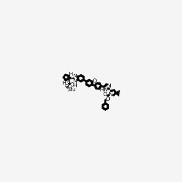 CC(C)(C)OC(=O)N1[C@@H]2CC[C@@H](C2)[C@H]1c1nc2ccc(-c3ccc4c(c3)oc3cc(-c5cnc([C@@H]6CC7(CC7)CN6C(=O)OCc6ccccc6)[nH]5)ccc34)cc2[nH]1